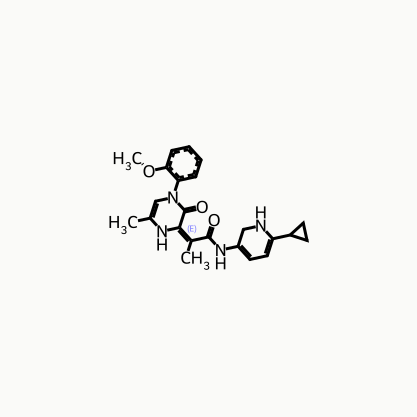 COc1ccccc1N1C=C(C)N/C(=C(\C)C(=O)NC2=CC=C(C3CC3)NC2)C1=O